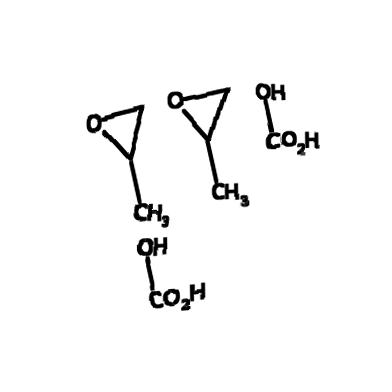 CC1CO1.CC1CO1.O=C(O)O.O=C(O)O